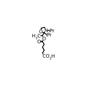 CC(C)N1CCOC1(C(C)C)C(C)OC(=O)CCCCC(=O)O